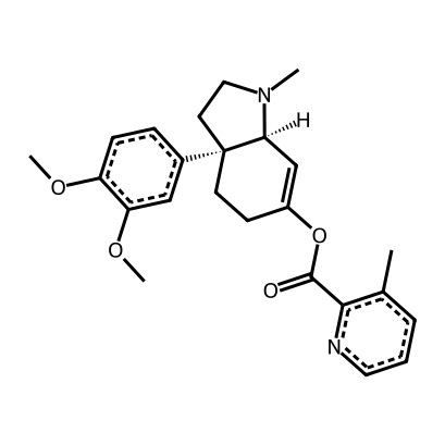 COc1ccc([C@@]23CCC(OC(=O)c4ncccc4C)=C[C@@H]2N(C)CC3)cc1OC